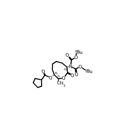 C[C@@H]1OC(=O)[C@@H](N(C(=O)OC(C)(C)C)C(=O)OC(C)(C)C)CCCC[C@H]1OC(=O)C1CCCC1